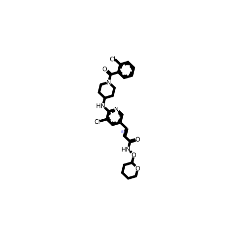 O=C(/C=C/c1cnc(NC2CCN(C(=O)c3ccccc3Cl)CC2)c(Cl)c1)NOC1CCCCO1